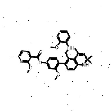 COc1ccccc1NCc1c(-c2ccc(OC(=O)c3cccnc3OC)cc2OC)ccc2c1C(C)=CC(C)(C)N2